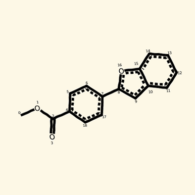 COC(=O)c1ccc(-c2cc3ccccc3o2)cc1